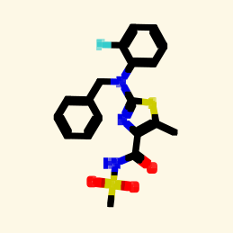 Cc1sc(N(Cc2ccccc2)c2ccccc2F)nc1C(=O)NS(C)(=O)=O